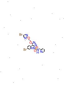 O=S(=O)(NCc1ccccn1)Nc1ncnc(OCCOc2ncc(Br)cn2)c1-c1ccc(Br)cc1